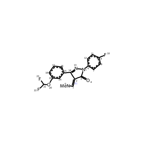 CN/C=C1/C(=O)N(c2ccc(F)cc2)N=C1c1cccc(OC(F)F)c1